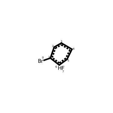 Brc1ccccc1.F